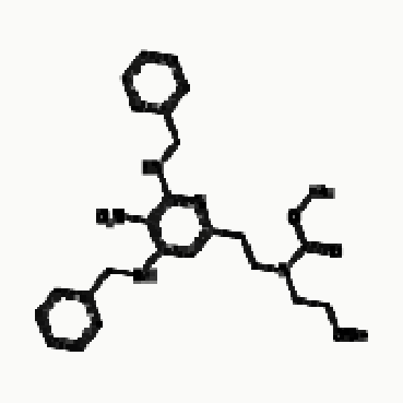 COCCN(CCc1cc(NCc2ccccc2)c([N+](=O)[O-])c(NCc2ccccc2)n1)C(=O)OC(C)(C)C